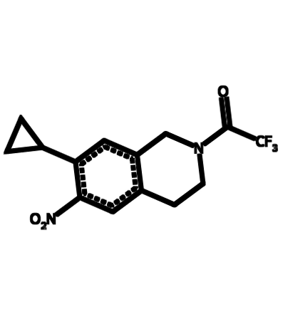 O=C(N1CCc2cc([N+](=O)[O-])c(C3CC3)cc2C1)C(F)(F)F